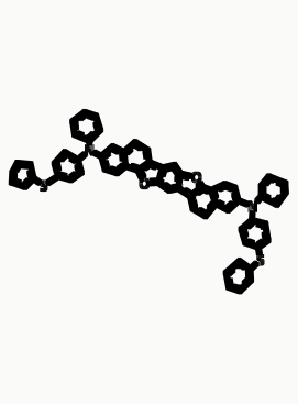 c1ccc(Sc2ccc(N(c3ccccc3)c3ccc4c(ccc5c6cc7oc8c9ccc(N(c%10ccccc%10)c%10ccc(Sc%11ccccc%11)cc%10)cc9ccc8c7cc6oc45)c3)cc2)cc1